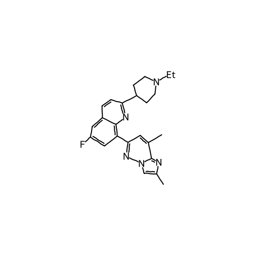 CCN1CCC(c2ccc3cc(F)cc(-c4cc(C)c5nc(C)cn5n4)c3n2)CC1